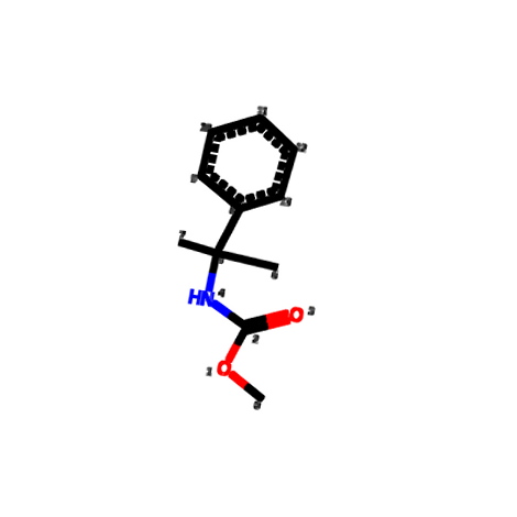 COC(=O)NC(C)(C)c1ccccc1